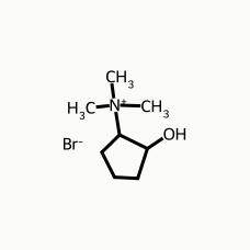 C[N+](C)(C)C1CCCC1O.[Br-]